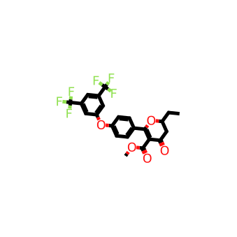 CCC1CC(=O)C(C(=O)OC)=C(c2ccc(Oc3cc(C(F)(F)F)cc(C(F)(F)F)c3)cc2)O1